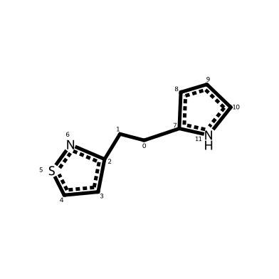 [CH](Cc1ccsn1)c1ccc[nH]1